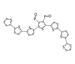 O=Pc1c(-c2ccc(-c3ccc(-c4cccs4)s3)s2)sc(-c2ccc(-c3ccc(-c4cccs4)s3)s2)c1P=O